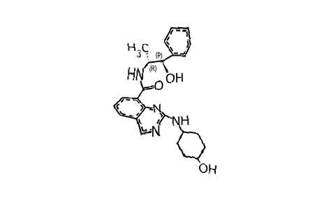 C[C@@H](NC(=O)c1cccc2cnc(NC3CCC(O)CC3)nc12)[C@H](O)c1ccccc1